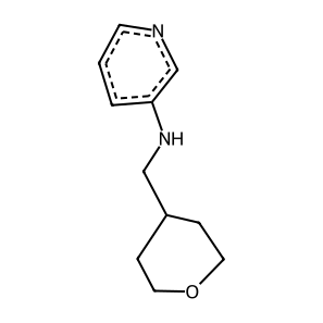 c1cncc(NCC2CCOCC2)c1